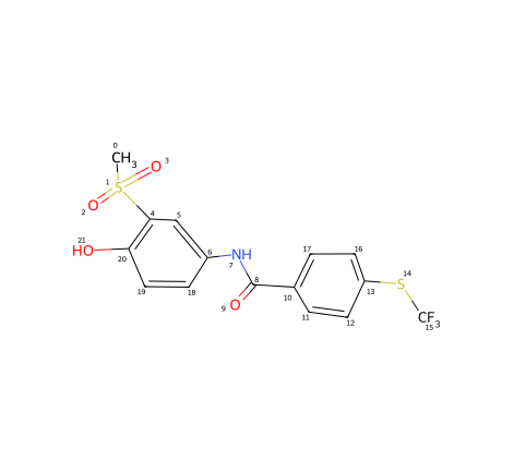 CS(=O)(=O)c1cc(NC(=O)c2ccc(SC(F)(F)F)cc2)ccc1O